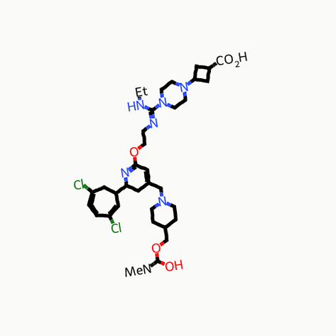 CCN/C(=N\CCOC1=NC(C2C=C(Cl)C=C=C(Cl)C2)CC(CN2CCC(COC(O)NC)CC2)=C1)N1CCN(C2CC(C(=O)O)C2)CC1